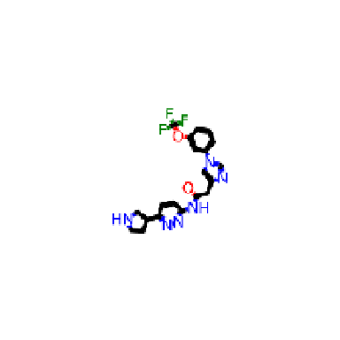 O=C(Cc1cn(-c2cccc(OC(F)(F)F)c2)cn1)Nc1ccc(C2CCNC2)nn1